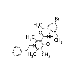 CCc1cc(Br)cc(CC)c1NC(=O)c1c(C)n(CCc2ccccc2)c(C)c(C)c1=O